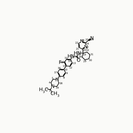 CC(C)N1CCN(c2ccc(-c3ccc(NC(=O)NC4(c5ccnc(C#N)n5)CCCCC4)cc3F)cc2)CC1